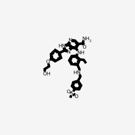 CCc1c(CNCc2ccc(S(C)(=O)=O)cc2)cccc1Nc1c(C(N)=O)cnc2[nH]c(-c3ccc(OCCO)cc3)nc12